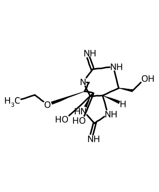 CCO[C@H]1CN2C(=N)N[C@@H](CO)[C@@H]3NC(=N)N[C@@]32C1(O)O